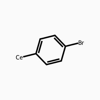 Brc1cc[c]([Ce])cc1